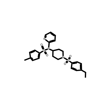 CCc1ccc(S(=O)(=O)N2CCC(N(c3ccccn3)S(=O)(=O)c3ccc(C)cc3)CC2)cc1